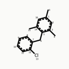 Cc1cc(C)c(Cc2ccccc2Cl)c(C)c1